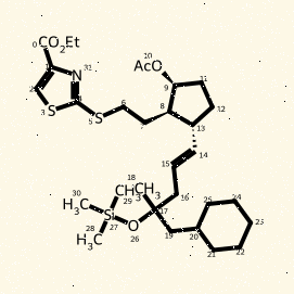 CCOC(=O)c1csc(SCC[C@H]2[C@@H](OC(C)=O)CC[C@@H]2/C=C/CC(C)(CC2CCCCC2)O[Si](C)(C)C)n1